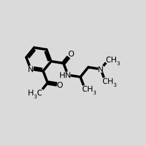 CC(=O)c1ncccc1C(=O)NC(C)CN(C)C